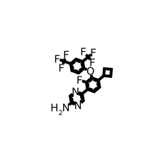 Nc1cnc(-c2ccc(C3CCC3)c(Oc3ccc(C(F)(F)F)cc3C(F)(F)F)c2F)cn1